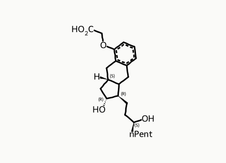 CCCCC[C@H](O)CC[C@@H]1C2Cc3cccc(OCC(=O)O)c3C[C@H]2C[C@H]1O